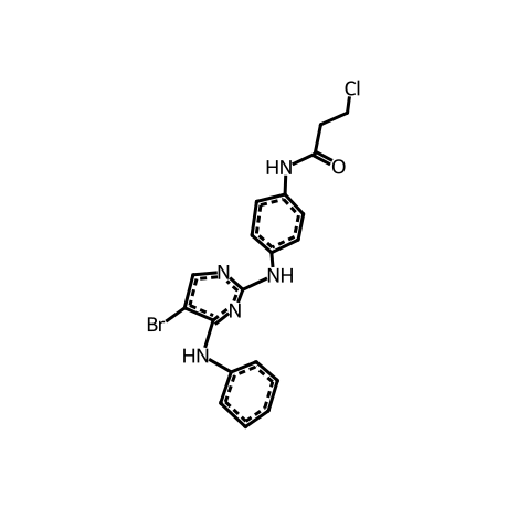 O=C(CCCl)Nc1ccc(Nc2ncc(Br)c(Nc3ccccc3)n2)cc1